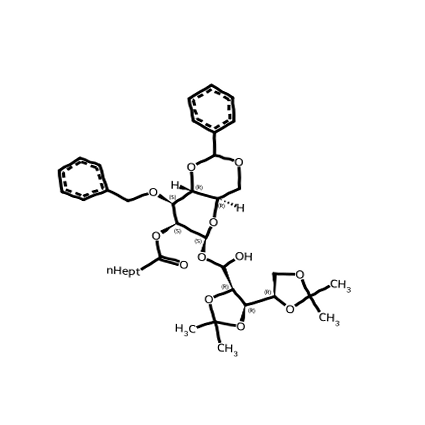 CCCCCCCC(=O)O[C@@H]1[C@H](OC(O)[C@@H]2OC(C)(C)O[C@@H]2[C@H]2COC(C)(C)O2)O[C@@H]2COC(c3ccccc3)O[C@H]2[C@@H]1OCc1ccccc1